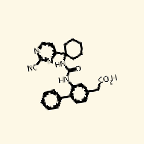 N#Cc1nccc(C2(NC(=O)Nc3cc(CC(=O)O)ccc3-c3ccccc3)CCCCC2)n1